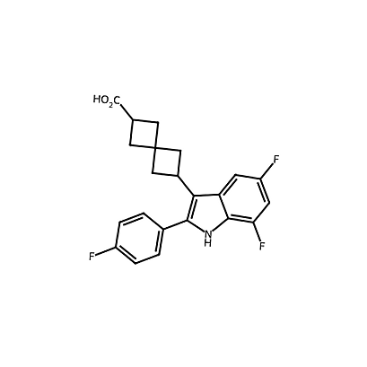 O=C(O)C1CC2(C1)CC(c1c(-c3ccc(F)cc3)[nH]c3c(F)cc(F)cc13)C2